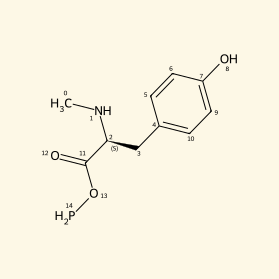 CN[C@@H](Cc1ccc(O)cc1)C(=O)OP